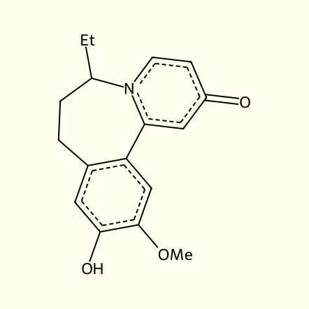 CCC1CCc2cc(O)c(OC)cc2-c2cc(=O)ccn21